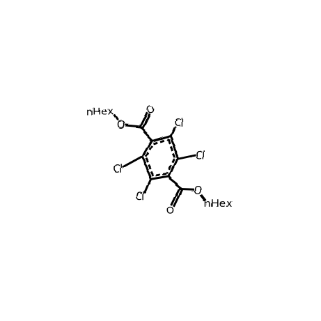 CCCCCCOC(=O)c1c(Cl)c(Cl)c(C(=O)OCCCCCC)c(Cl)c1Cl